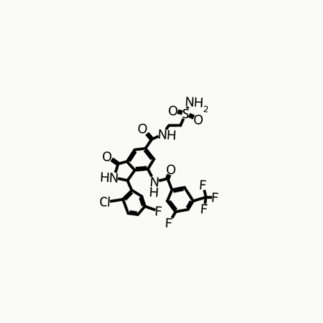 NS(=O)(=O)CCNC(=O)c1cc(NC(=O)c2cc(F)cc(C(F)(F)F)c2)c2c(c1)C(=O)NC2c1cc(F)ccc1Cl